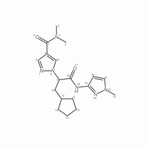 CN(C)C(=O)c1cnn(C(CC2CCCC2)C(=O)Nc2ccn(C)n2)c1